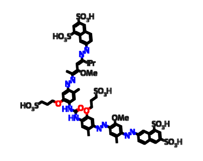 COC(/C=C(/N=Nc1ccc2cc(S(=O)(=O)O)cc(S(=O)(=O)O)c2c1)C(C)C)=C(/C)N=Nc1cc(OCCCS(=O)(=O)O)c(NC(=O)Nc2cc(C)c(N=Nc3cc(C)c(N=Nc4ccc5cc(S(=O)(=O)O)cc(S(=O)(=O)O)c5c4)cc3OC)cc2OCCCS(=O)(=O)O)cc1C